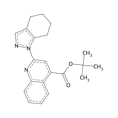 CC(C)(C)OC(=O)c1cc(-n2ncc3c2CCCC3)nc2ccccc12